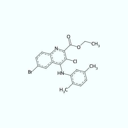 CCOC(=O)c1nc2ccc(Br)cc2c(Nc2cc(C)ccc2C)c1Cl